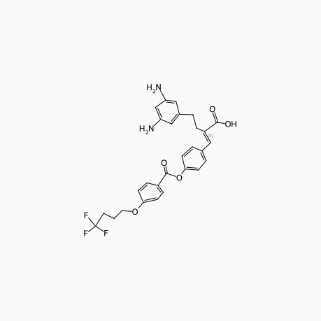 Nc1cc(N)cc(CC/C(=C\c2ccc(OC(=O)c3ccc(OCCCC(F)(F)F)cc3)cc2)C(=O)O)c1